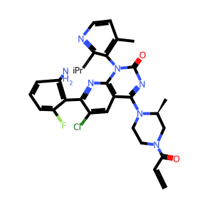 C=CC(=O)N1CCN(c2nc(=O)n(-c3c(C)ccnc3C(C)C)c3nc(-c4c(N)cccc4F)c(Cl)cc23)[C@@H](C)C1